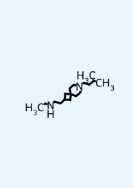 CCNCCC1CC2(CCN(CCC(C)C)CC2)C1